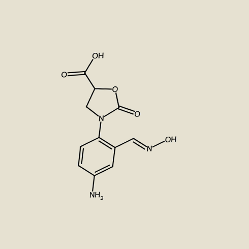 Nc1ccc(N2CC(C(=O)O)OC2=O)c(C=NO)c1